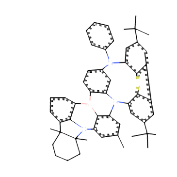 Cc1cc2c3c(c1)N1c4c(cccc4C4(C)CCCCC14C)B3c1ccc3cc1N2c1cc(C(C)(C)C)cc2c1sc1c(cc(C(C)(C)C)cc12)N3c1ccccc1